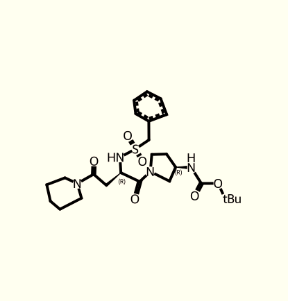 CC(C)(C)OC(=O)N[C@@H]1CCN(C(=O)[C@@H](CC(=O)N2CCCCC2)NS(=O)(=O)Cc2ccccc2)C1